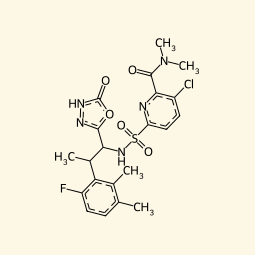 Cc1ccc(F)c(C(C)C(NS(=O)(=O)c2ccc(Cl)c(C(=O)N(C)C)n2)c2n[nH]c(=O)o2)c1C